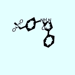 CS(=O)(=O)Cc1ccc(Nc2ncc(-c3ccccc3)o2)cc1